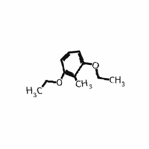 CCOc1cccc(OCC)c1C